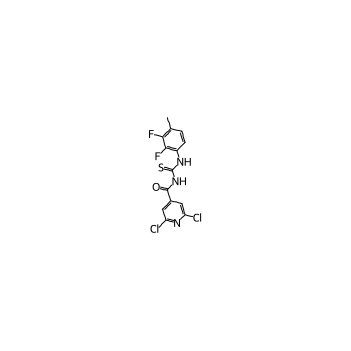 Cc1ccc(NC(=S)NC(=O)c2cc(Cl)nc(Cl)c2)c(F)c1F